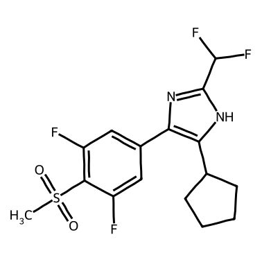 CS(=O)(=O)c1c(F)cc(-c2nc(C(F)F)[nH]c2C2CCCC2)cc1F